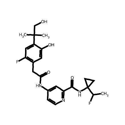 CC(F)C1(NC(=O)c2cc(NC(=O)Cc3cc(O)c(C(C)(C)CO)cc3F)ccn2)CC1